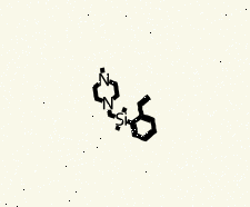 C=Cc1ccccc1[Si](C)(C)CN1CCN(C)CC1